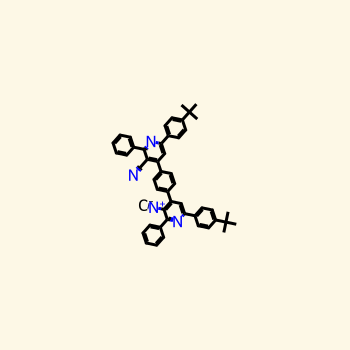 [C-]#[N+]c1c(-c2ccc(-c3cc(-c4ccc(C(C)(C)C)cc4)nc(-c4ccccc4)c3C#N)cc2)cc(-c2ccc(C(C)(C)C)cc2)nc1-c1ccccc1